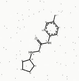 Cc1ccc(NC(=O)CNC2CCCC2)nc1